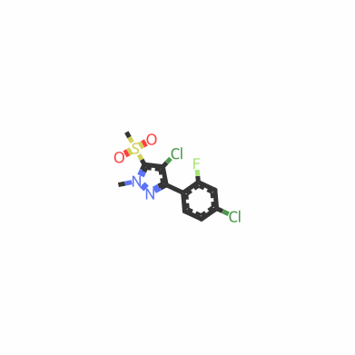 Cn1nc(-c2ccc(Cl)cc2F)c(Cl)c1S(C)(=O)=O